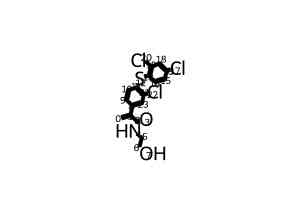 C=C(C(=O)NCCO)c1ccc(Sc2ccc(Cl)cc2Cl)c(Cl)c1